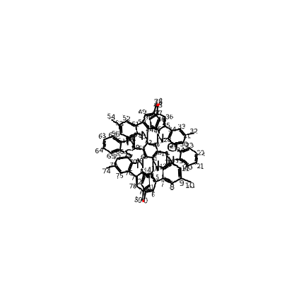 Cc1ccc2c(c1)c1cc(C)ccc1n2-c1c(-c2nc3ccccc3o2)c(-n2c3ccc(C)cc3c3cc(C)ccc32)c(-n2c3ccc(C)cc3c3cc(C)ccc32)c(-c2nc3ccccc3s2)c1-n1c2ccc(C)cc2c2cc(C)ccc21